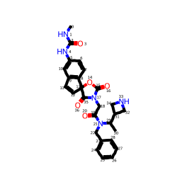 CNC(=O)Nc1ccc2c(c1)C=CC21OC(=O)N(CC(=O)N(Cc2ccccc2)C(C)C2CNC2)C1=O